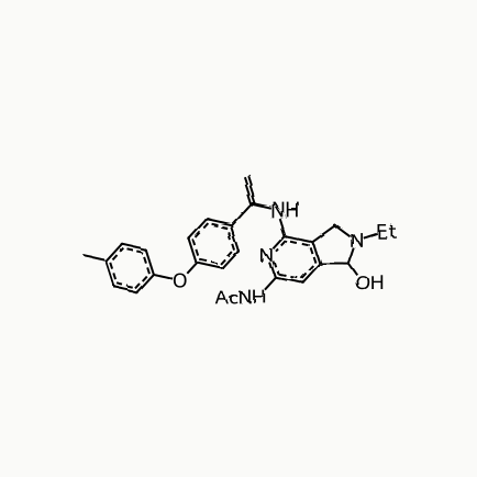 C=C(Nc1nc(NC(C)=O)cc2c1CN(CC)C2O)c1ccc(Oc2ccc(C)cc2)cc1